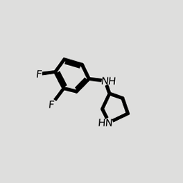 Fc1ccc(NC2CCNC2)cc1F